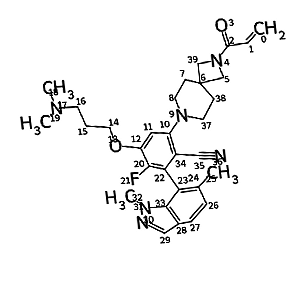 C=CC(=O)N1CC2(CCN(c3cc(OCCCN(C)C)c(F)c(-c4c(C)ccc5cnn(C)c45)c3C#N)CC2)C1